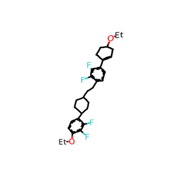 CCOc1ccc(C2CCC(CCc3ccc(C4=CCC(OCC)CC4)c(F)c3F)CC2)c(F)c1F